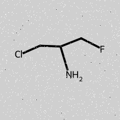 NC(CF)CCl